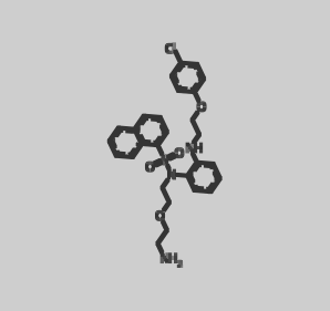 NCCOCCN(c1ccccc1NCCOc1ccc(Cl)cc1)S(=O)(=O)c1cccc2ccccc12